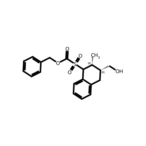 C[C@H]1C(S(=O)(=O)C(=O)OCc2ccccc2)c2ccccc2C[C@H]1CO